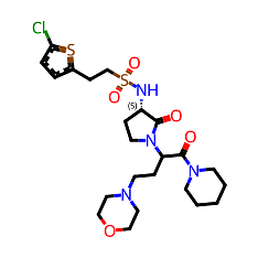 O=C(C(CCN1CCOCC1)N1CC[C@H](NS(=O)(=O)CCc2ccc(Cl)s2)C1=O)N1CCCCC1